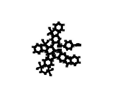 CC(C)(C)c1ccc(Nc2cc3c(cc2-c2c4c(c5c6cc7c(cc6n6c5c2Bc2cc5c(cc2-6)sc2ccccc25)C(C)(C)CCC7(C)C)-c2ccccc2C4(C)C)C(C)(C)c2ccccc2-3)cc1